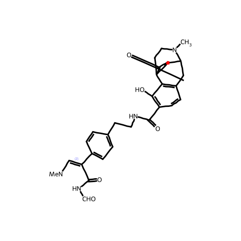 CN/C=C(\C(=O)NC=O)c1ccc(CCNC(=O)c2ccc3c(c2O)C24CCN(C)C(C3)C2CCC(=O)C4)cc1